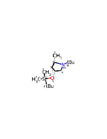 C[C@H]1C[C@@H](O[Si](C)(C)C(C)(C)C)CN1C(C)(C)C